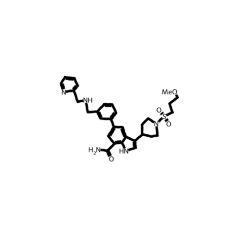 COCCCS(=O)(=O)N1CCC(c2c[nH]c3c(C(N)=O)cc(-c4cccc(CNCc5ccccn5)c4)cc23)CC1